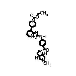 CCOC(=O)N1CC=C(c2cccn3nc(Nc4ccc(C(=O)N5CC[C@H]6CN(C)C[C@H]65)cc4)nc23)CC1